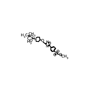 COCS(=O)(=O)c1ccc(-c2nc(COC3CCN(C(=O)OC(C)(C)C)CC3)no2)cc1